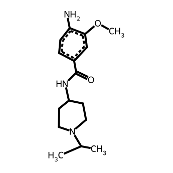 COc1cc(C(=O)NC2CCN(C(C)C)CC2)ccc1N